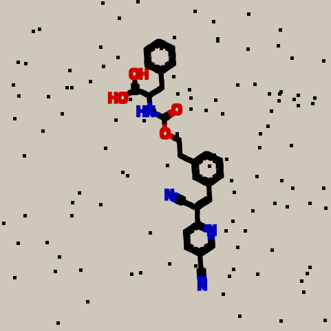 N#CC(=Cc1cccc(CCOC(=O)NC(Cc2ccccc2)B(O)O)c1)c1ccc(C#N)cn1